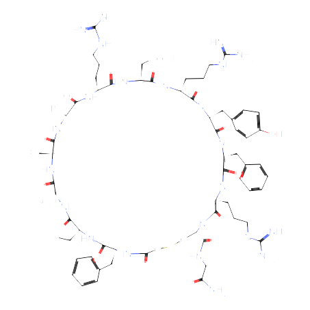 CC[C@H](C)[C@@H]1NC(=O)[C@H](CC(C)C)NC(=O)[C@H](Cc2ccccc2)NC(=O)CSC[C@@H](C(=O)NCC(N)=O)NC(=O)[C@H](CCCNC(=N)N)NC(=O)[C@H](Cc2ccccc2)NC(=O)[C@H](Cc2ccc(O)cc2)NC(=O)[C@H](CCCNC(=N)N)NC(=O)[C@H](CC(=O)O)NC(=O)[C@H](CCCNC(=N)N)NC(=O)[C@H]([C@@H](C)CC)NC(=O)[C@H](C(C)C)NC1=O